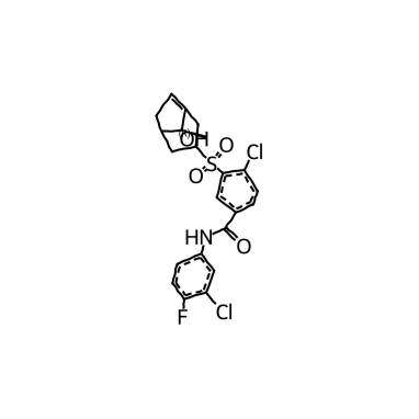 C[C@]1(O)C2=CCC1CC(S(=O)(=O)c1cc(C(=O)Nc3ccc(F)c(Cl)c3)ccc1Cl)C2